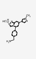 Cl.Cl.Cn1cc(-c2cc(-c3ccc(CN)cc3)n3cnnc3c2)cn1